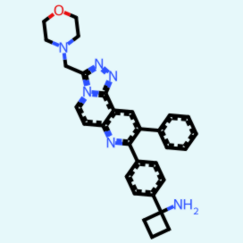 NC1(c2ccc(-c3nc4ccn5c(CN6CCOCC6)nnc5c4cc3-c3ccccc3)cc2)CCC1